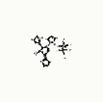 Cn1c(-c2ccco2)c[n+](-c2ccco2)c1-c1ccco1.O=S(=O)([O-])C(F)(F)F